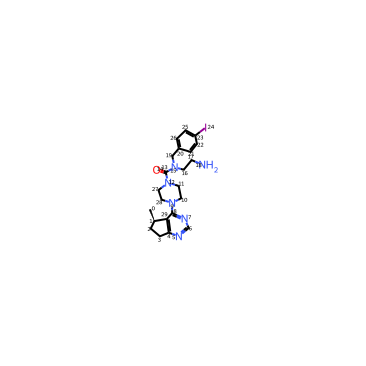 C[C@@H]1CCc2ncnc(N3CCN(C(=O)N(CCN)Cc4ccc(I)cc4)CC3)c21